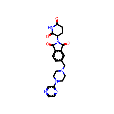 O=C1CCC(N2C(=O)c3ccc(CN4CCN(c5cnccn5)CC4)cc3C2=O)C(=O)N1